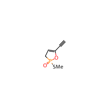 C#CC1=CCP(=O)(SC)O1